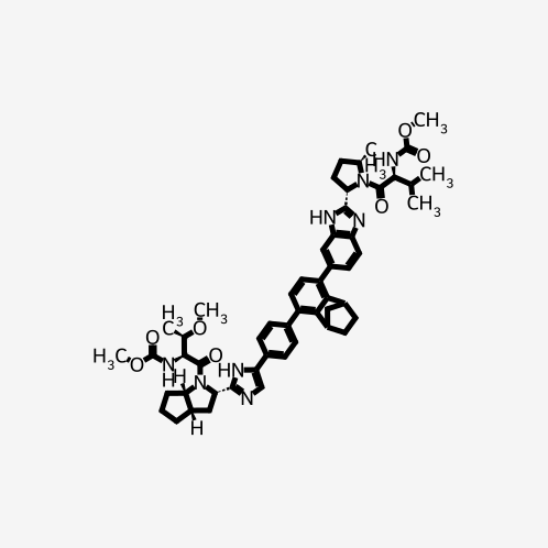 COC(=O)N[C@H](C(=O)N1[C@@H](C)CC[C@H]1c1nc2ccc(-c3ccc(-c4ccc(-c5cnc([C@@H]6C[C@@H]7CCC[C@@H]7N6C(=O)[C@@H](NC(=O)OC)[C@@H](C)OC)[nH]5)cc4)c4c3C3CCC4C3)cc2[nH]1)C(C)C